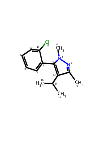 Cc1nn(C)c(-c2ccccc2Cl)c1C(C)C